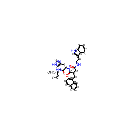 CC(C)C[C@@H](C=O)NC(=O)[C@H](Cc1c[nH]cn1)NC(=O)C(CC(=O)NCCc1c[nH]c2ccccc12)Cc1cccc2ccccc12